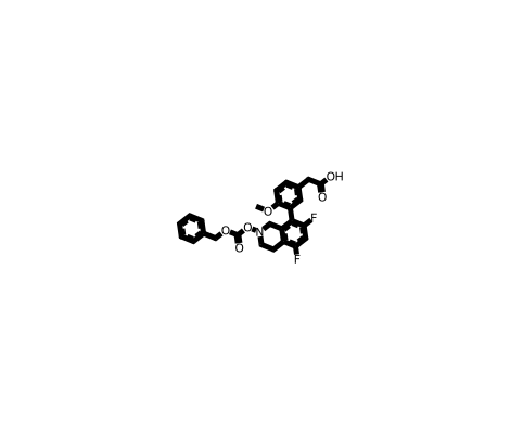 COc1ccc(CC(=O)O)cc1-c1c(F)cc(F)c2c1CN(OC(=O)OCc1ccccc1)CC2